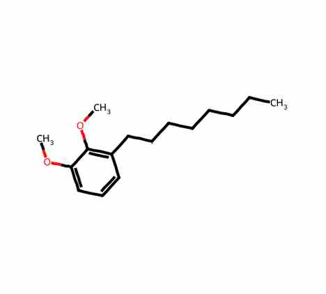 CCCCCC[CH]Cc1cccc(OC)c1OC